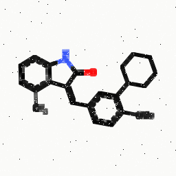 COc1ccc(C=C2C(=O)Nc3cccc(C)c32)cc1C1CCCCC1